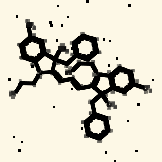 CC(C)CCN1/C(=C/C=C/C2=[N+](CCC(C)C)c3ccc(C(F)(F)F)cc3C2(C)Cc2ccccc2)C(C)(Cc2ccccc2)c2cc(C(F)(F)F)ccc21